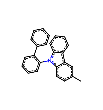 Cc1ccc2c(c1)c1ccccc1n2-c1ccccc1-c1ccccc1